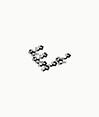 O=Cc1ccco1.O=Cc1ccco1.O=Cc1ccco1.c1coc(CNc2[nH]cnc3ncnc2-3)c1.c1coc(CNc2[nH]cnc3ncnc2-3)c1.c1coc(CNc2[nH]cnc3ncnc2-3)c1